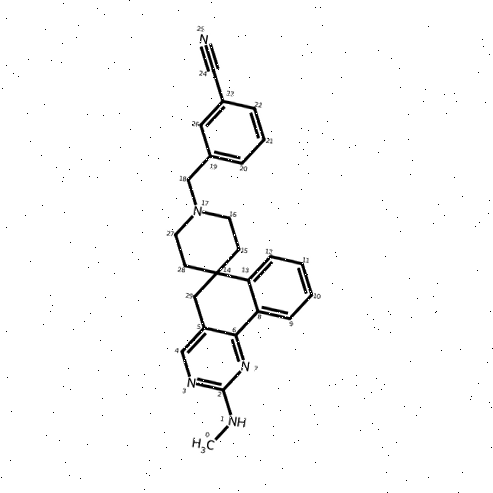 CNc1ncc2c(n1)-c1ccccc1C1(CCN(Cc3cccc(C#N)c3)CC1)C2